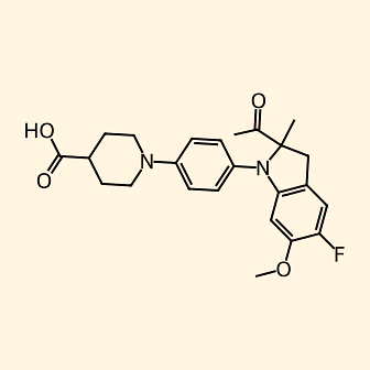 COc1cc2c(cc1F)CC(C)(C(C)=O)N2c1ccc(N2CCC(C(=O)O)CC2)cc1